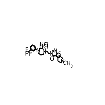 CN1CCc2c(sc3ncn(CCN4CCCN(c5cccc(C(F)(F)F)c5)CC4)c(=O)c23)C1.Cl.Cl